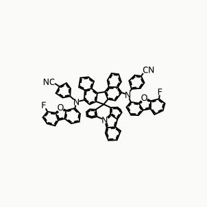 N#Cc1ccc(N(c2cc3c(c4ccccc24)-c2c(cc(N(c4ccc(C#N)cc4)c4cccc5c4oc4c(F)cccc45)c4ccccc24)C32c3ccccc3-n3c4ccccc4c4cccc2c43)c2cccc3c2oc2c(F)cccc23)cc1